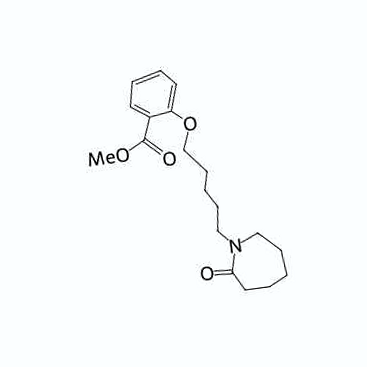 COC(=O)c1ccccc1OCCCCCN1CCCCCC1=O